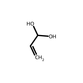 C=C[C](O)O